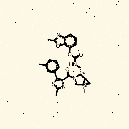 Cc1cccc(-c2sc(C)nc2C(=O)N2C[C@@H]3CC3[C@H]2CNC(=O)Oc2cccc3nc(C)oc23)c1